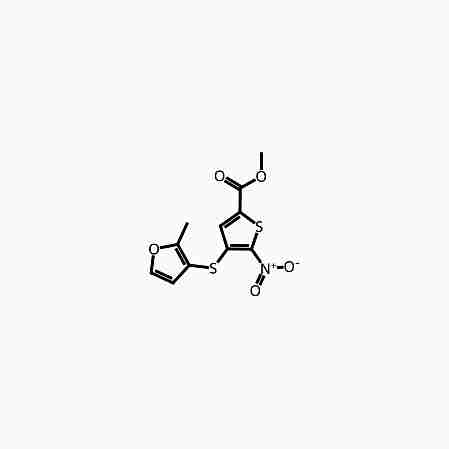 COC(=O)c1cc(Sc2ccoc2C)c([N+](=O)[O-])s1